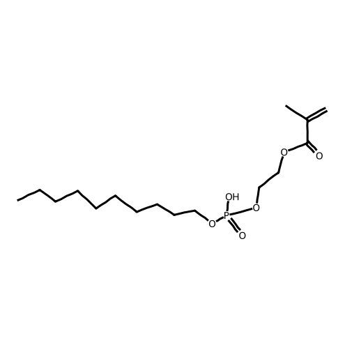 C=C(C)C(=O)OCCOP(=O)(O)OCCCCCCCCCC